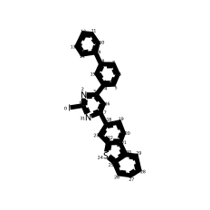 Ic1nc(-c2cccc(-c3ccccc3)c2)cc(-c2ccc3c(c2)sc2ccccc23)n1